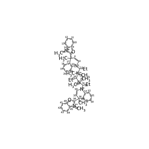 CCC(N1C=CC(C)(c2oc3ccccc3[n+]2C)c2ccccc21)[N+](C)(C)C(CC)[N+](C)(C)C(CC)N1C=CC(C)(c2oc3ccccc3[n+]2C)c2ccccc21